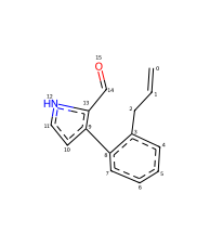 C=CCc1ccccc1-c1cc[nH]c1C=O